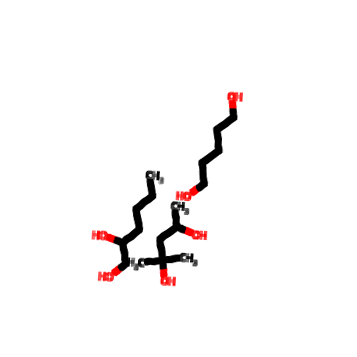 CC(O)CC(C)(C)O.CCCCC(O)CO.OCCCCCO